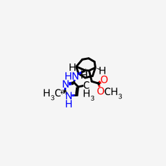 COC(=O)CC1[C@H]2CCC[C@@H](CCC2)[C@@H]1NC1=N[C@@H](C)NC=C1C